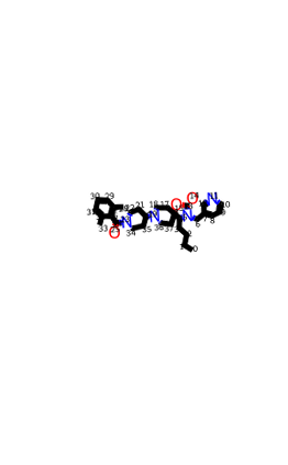 CCCCC1N(Cc2cccnc2)C(=O)OC12CCN(C1CCN(C(=O)c3c(C)cccc3C)CC1)CC2